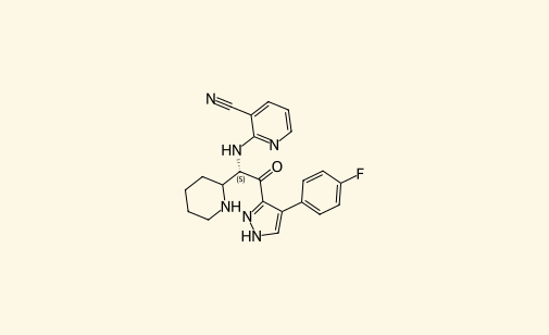 N#Cc1cccnc1N[C@H](C(=O)c1n[nH]cc1-c1ccc(F)cc1)C1CCCCN1